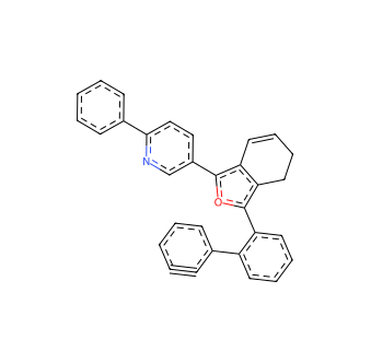 c1cccc(-c2ccccc2-c2oc(-c3ccc(-c4ccccc4)nc3)c3c2CCC=C3)c#1